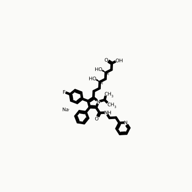 CC(C)n1c(CC[C@@H](O)C[C@@H](O)CC(=O)O)c(-c2ccc(F)cc2)c(-c2ccccc2)c1C(=O)NCCc1ccccn1.[Na]